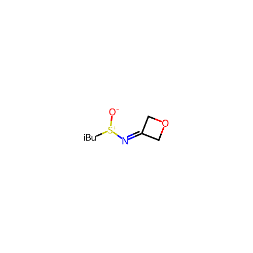 CCC(C)[S+]([O-])N=C1COC1